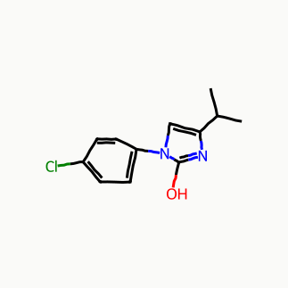 CC(C)c1cn(-c2ccc(Cl)cc2)c(O)n1